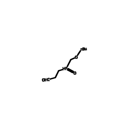 CCCCOC[PH](=O)CCC=O